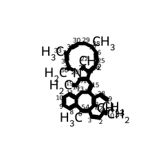 C=C\C=C/C1=C(\C)c2ccccc2CC(=C\c2c(C=C)n3c(=C)/c2=C\C=C/C(C)C/C=C\C(C)=C/C3=C)/C(/C=C\C)=C\1C